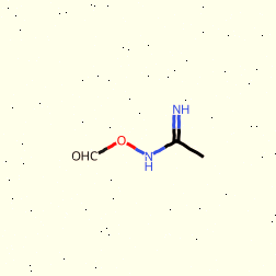 CC(=N)NOC=O